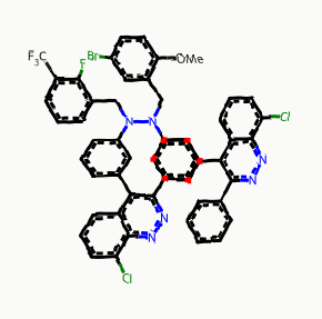 COc1ccc(Br)cc1CN(c1cccc(-c2c(-c3ccccc3)nnc3c(Cl)cccc23)c1)N(Cc1cccc(C(F)(F)F)c1F)c1cccc(-c2c(-c3ccccc3)nnc3c(Cl)cccc23)c1